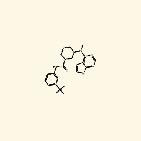 CN(c1ncnc2[nH]ccc12)N1CCCC(C(=O)Nc2cccc(C(F)(F)F)c2)C1